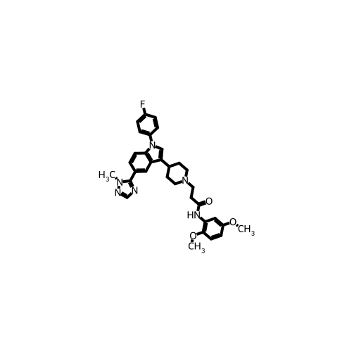 COc1ccc(OC)c(NC(=O)CCN2CCC(c3cn(-c4ccc(F)cc4)c4ccc(-c5ncnn5C)cc34)CC2)c1